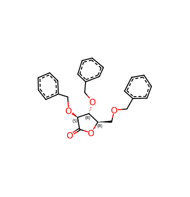 O=C1O[C@H](COCc2ccccc2)[C@@H](OCc2ccccc2)[C@@H]1OCc1ccccc1